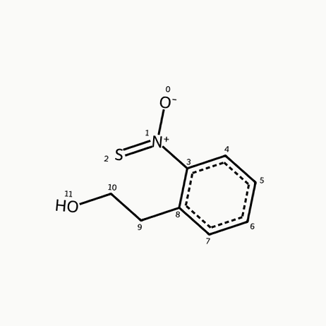 [O-][N+](=S)c1ccccc1CCO